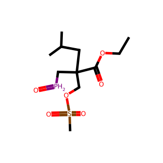 CCOC(=O)C(COS(C)(=O)=O)(C[PH2]=O)CC(C)C